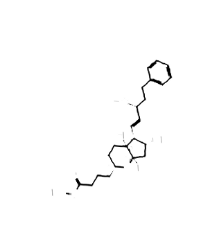 COC(=O)CCC[C@H]1CC[C@@H]2[C@@H](/C=C/[C@@H](O)CCc3ccccc3)[C@H](O)C[C@@H]2S1